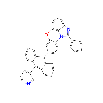 c1ccc(-c2nc3cccc4c3n2-c2ccc(-c3c5ccccc5c(-c5cccnc5)c5ccccc35)cc2O4)cc1